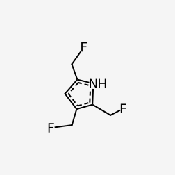 FCc1cc(CF)c(CF)[nH]1